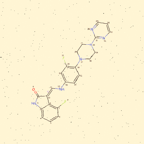 O=C1Nc2cccc(F)c2/C1=C\Nc1ccc(N2CCN(c3ncccn3)CC2)c(F)c1